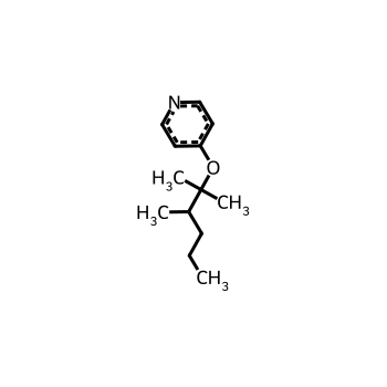 CCCC(C)C(C)(C)Oc1ccncc1